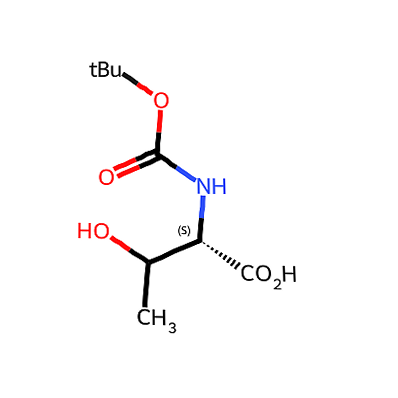 CC(O)[C@H](NC(=O)OC(C)(C)C)C(=O)O